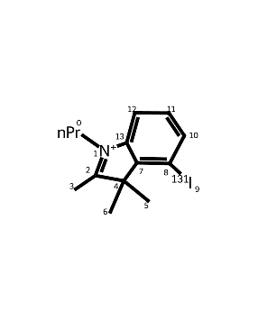 CCC[N+]1=C(C)C(C)(C)c2c([131I])cccc21